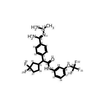 CN(N)/N=C(\N)c1ccc(C(C(=O)Nc2cccc(OC(F)(F)F)c2)C2CCC(F)(F)C2)cc1